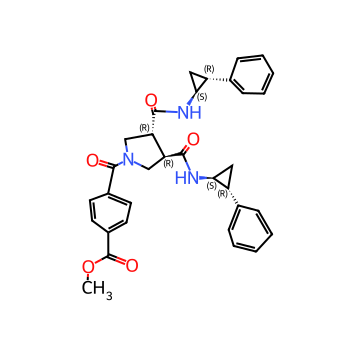 COC(=O)c1ccc(C(=O)N2C[C@H](C(=O)N[C@H]3C[C@@H]3c3ccccc3)[C@@H](C(=O)N[C@H]3C[C@@H]3c3ccccc3)C2)cc1